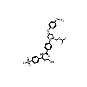 CCS(=O)(=O)c1ccc(C(CCO)NC(=O)c2ccc(N3C[C@@H](Oc4ccc(OC(F)(F)F)cc4)C[C@H]3COC(F)F)cc2)cc1